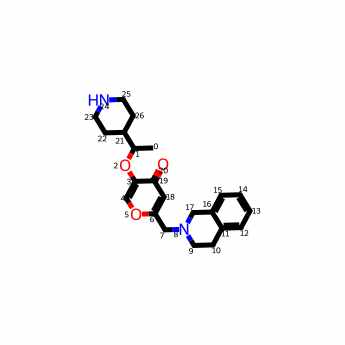 CC(Oc1coc(CN2CCc3ccccc3C2)cc1=O)C1CCNCC1